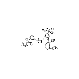 CC(C)(O)c1cc(-c2ccc(-c3cccc(S(C)(=O)=O)c3)s2)n(-c2cccc(C(F)(F)F)c2O)n1